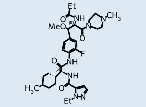 CCC(=O)N[C@@H](C(=O)N1CCN(C)CC1)C(OC)c1ccc(NC(=O)[C@@H](NC(=O)c2ccnn2CC)[C@H]2CC[C@H](C)CC2)c(F)c1